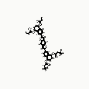 CCC(=O)OC1CCC(OC(=O)CC)c2cc(-c3cc4cc5sc(-c6ccc7c(c6)C(OC(=O)CC(F)(F)F)CCC7OC(=O)CC(F)(F)F)cc5cc4s3)ccc21